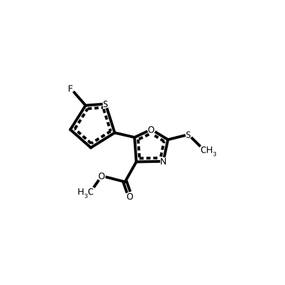 COC(=O)c1nc(SC)oc1-c1ccc(F)s1